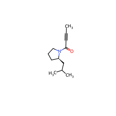 CC#CC(=O)N1CCC[C@@H]1CC(C)C